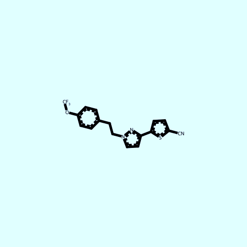 N#Cc1ccc(-c2ccn(CCc3ccc(OC(F)(F)F)cc3)n2)s1